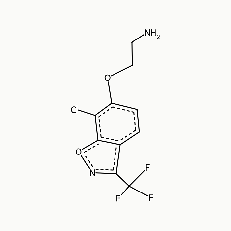 NCCOc1ccc2c(C(F)(F)F)noc2c1Cl